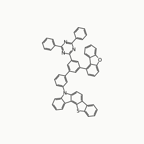 c1ccc(-c2nc(-c3ccccc3)nc(-c3cc(-c4cccc(-n5c6ccccc6c6c7sc8ccccc8c7ccc65)c4)cc(-c4cccc5oc6ccccc6c45)c3)n2)cc1